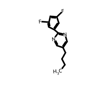 CCCCc1cnc(-c2cc(F)cc(F)c2)nc1